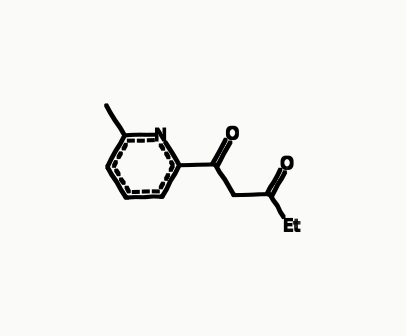 CCC(=O)CC(=O)c1cccc(C)n1